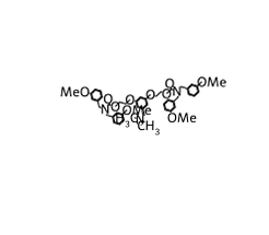 COc1cccc(CN(Cc2cccc(OC)c2)C(=O)OCCOc2cc(CN(C)C)cc(OCCOC(=O)N(Cc3cccc(OC)c3)Cc3cccc(OC)c3)c2)c1